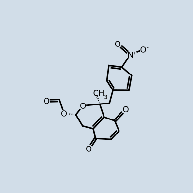 C[C@@]1(Cc2ccc([N+](=O)[O-])cc2)O[C@@H](OC=O)CC2=C1C(=O)C=CC2=O